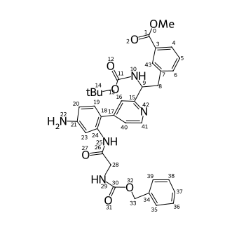 COC(=O)c1cccc(CC(NC(=O)OC(C)(C)C)c2cc(-c3ccc(N)cc3NC(=O)CNC(=O)OCc3ccccc3)ccn2)c1